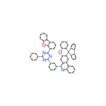 c1ccc(-c2nc(-c3cccc(-c4nc5ccccc5c5cc6c(cc45)Oc4ccccc4C64c5ccccc5-c5ccccc54)c3)nc(-c3cccc4c3oc3ccccc34)n2)cc1